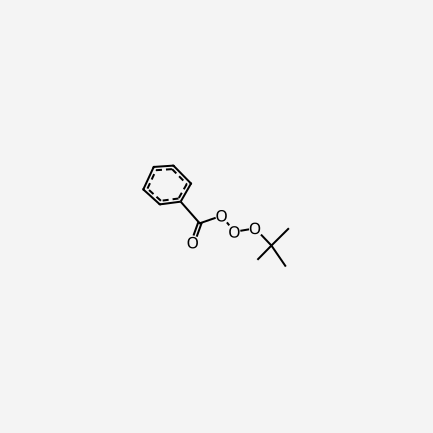 CC(C)(C)OOOC(=O)c1ccccc1